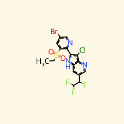 CCS(=O)(=O)c1cc(Br)cnc1-c1[nH]c2cc(C(F)C(F)F)cnc2c1Cl